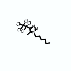 CCCCCCn1nnc(C(Cl)(Cl)C(Cl)(Cl)Cl)c1C